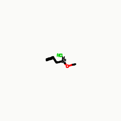 C=CC[SiH2]OC.Cl